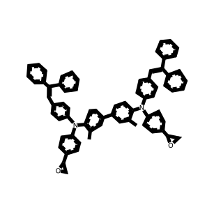 Cc1cc(-c2ccc(N(c3ccc(C=C(c4ccccc4)c4ccccc4)cc3)c3ccc(C4CO4)cc3)c(C)c2)ccc1N(c1ccc(C=C(c2ccccc2)c2ccccc2)cc1)c1ccc(C2CO2)cc1